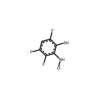 Fc1cc(F)c(S)c(NCl)c1F